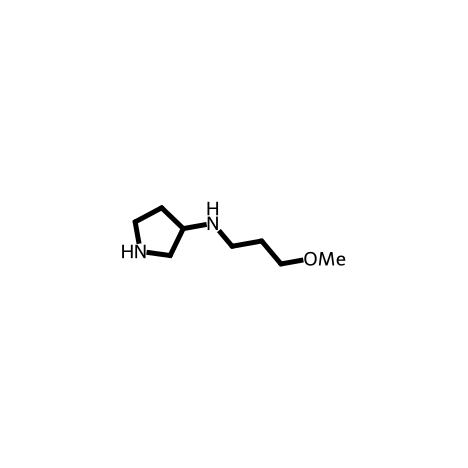 COCCCNC1CCNC1